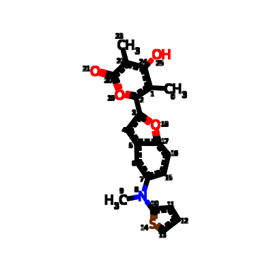 Cc1c(-c2cc3cc(N(C)c4cccs4)ccc3o2)oc(=O)c(C)c1O